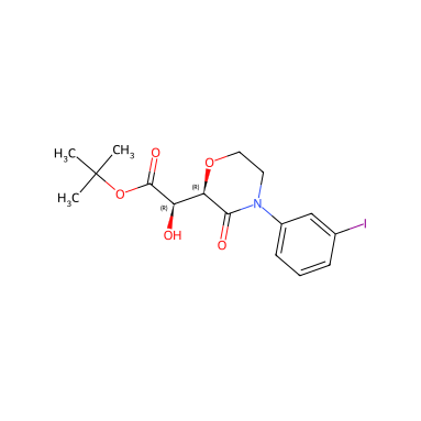 CC(C)(C)OC(=O)[C@H](O)[C@H]1OCCN(c2cccc(I)c2)C1=O